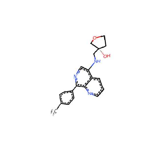 O[C@@]1(CNc2cnc(-c3ccc(C(F)(F)F)cc3)c3ncccc23)CCOC1